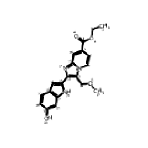 CCOC(=O)c1ccn2c(COC)c(-c3cc4ccc(O)cc4[nH]3)nc2c1